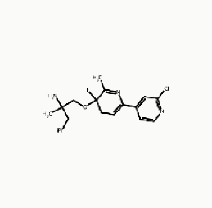 CC1=NC(c2ccnc(Cl)c2)=CCC1(F)OCC(C)(N)CC(C)C